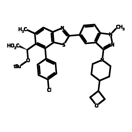 Cc1cc2nc(-c3ccc4c(c3)c(N3CCC(C5COC5)CC3)nn4C)sc2c(-c2ccc(Cl)cc2)c1[C@H](OC(C)(C)C)C(=O)O